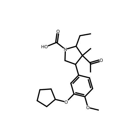 CCC1N(C(=O)O)CC(c2ccc(OC)c(OC3CCCC3)c2)C1(C)C(C)=O